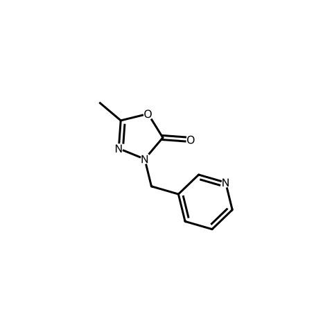 Cc1nn(Cc2cccnc2)c(=O)o1